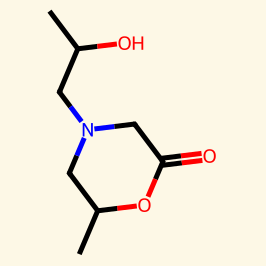 CC(O)CN1CC(=O)OC(C)C1